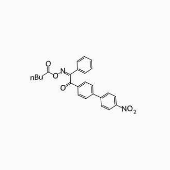 CCCCC(=O)O/N=C(\C(=O)c1ccc(-c2ccc([N+](=O)[O-])cc2)cc1)c1ccccc1